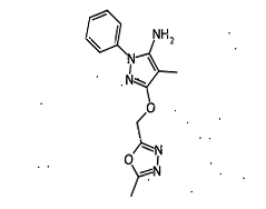 Cc1nnc(COc2nn(-c3ccccc3)c(N)c2C)o1